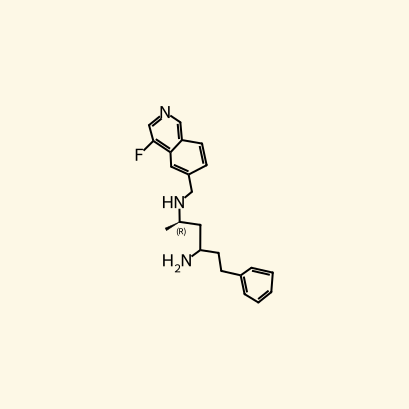 C[C@H](CC(N)CCc1ccccc1)NCc1ccc2cncc(F)c2c1